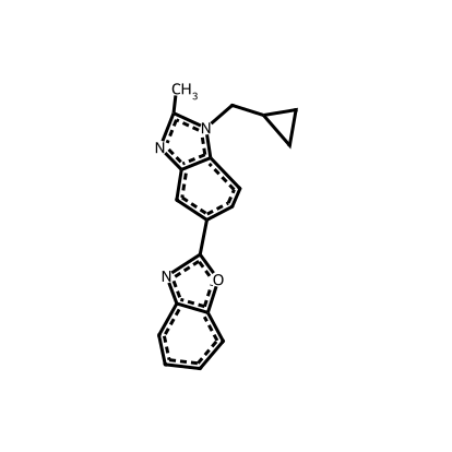 Cc1nc2cc(-c3nc4ccccc4o3)ccc2n1CC1CC1